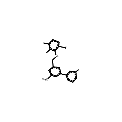 COc1cc(CNc2c(F)ccc(I)c2C)cc(-c2cccc(F)c2)c1